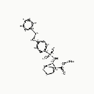 CC(C)(C)OC(=O)C1C2CCC(C2)C1NS(=O)(=O)c1ccc(OCc2ccccc2)cc1